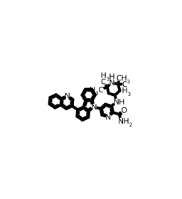 CC1(C)CC(Nc2cc(-n3c4ccccc4c4c(-c5cnc6ccccc6c5)cccc43)cnc2C(N)=O)CC(C)(C)N1